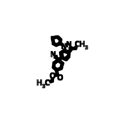 CCOC(=O)C1CCC(C#N)(c2ccc3c(CC)nn(C4CCCCC4)c3c2)CC1